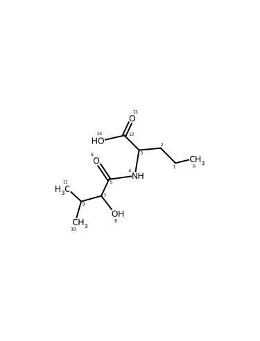 CCCC(NC(=O)C(O)C(C)C)C(=O)O